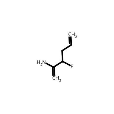 C=CC[C](F)C(=C)N